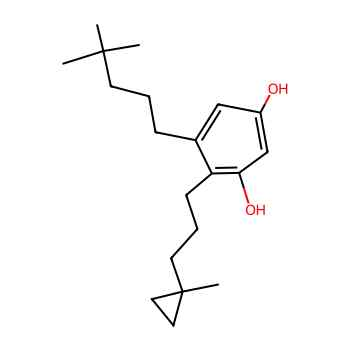 CC(C)(C)CCCc1cc(O)cc(O)c1CCCC1(C)CC1